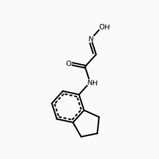 O=C(C=NO)Nc1cccc2c1CCC2